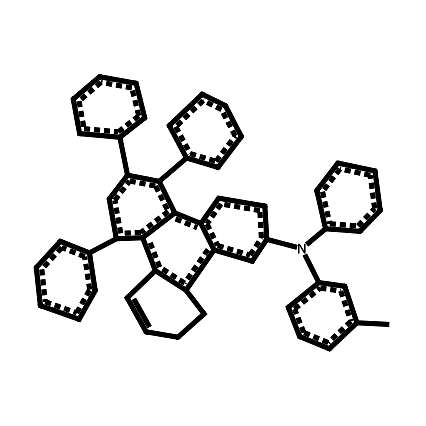 Cc1cccc(N(c2ccccc2)c2ccc3c(c2)c2c(c4c(-c5ccccc5)cc(-c5ccccc5)c(-c5ccccc5)c43)C=CCC2)c1